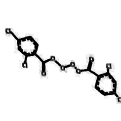 O=C(OOOOC(=O)c1ccc(Cl)cc1Cl)c1ccc(Cl)cc1Cl